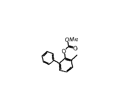 COC(=O)Oc1c(C)cccc1-c1ccccc1